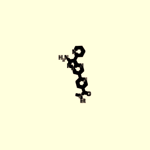 CCN(C)C(=O)c1ccc(-c2cnc3c(-c4ccccn4)c(N)nn3c2)nc1